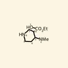 CCOC(=O)O.CNC1CCNCC1